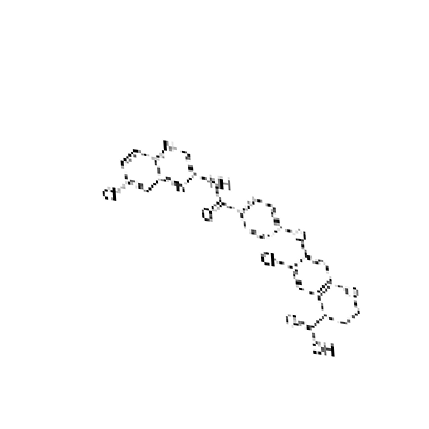 O=C(Nc1cnc2ccc(Cl)cc2n1)c1ccc(Oc2cc3c(cc2Cl)C(C(=O)O)CCO3)cc1